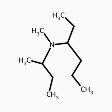 CCCC(CC)N(C)C(C)CC